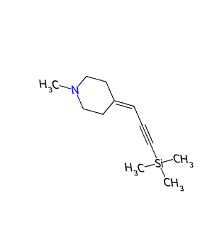 CN1CCC(=CC#C[Si](C)(C)C)CC1